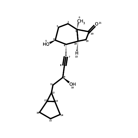 C[C@@]12CC[C@H](O)[C@@H](C#C[C@@H](O)CC3C4CCCC43)[C@@H]1CC2=O